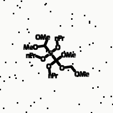 CCCOC(OC)(OCOC)[Si](OCCC)(OCCC)C(OC)OC